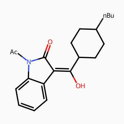 CCCCC1CCC(C(O)=C2C(=O)N(C(C)=O)c3ccccc32)CC1